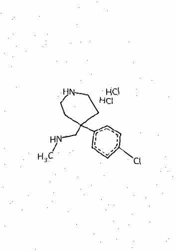 CNCC1(c2ccc(Cl)cc2)CCNCC1.Cl.Cl